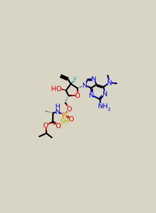 C#C[C@@]1(F)[C@H](O)[C@@H](COP(=O)(S)N[C@@H](C)C(=O)OC(C)C)O[C@H]1n1cnc2c(N(C)C)nc(N)nc21